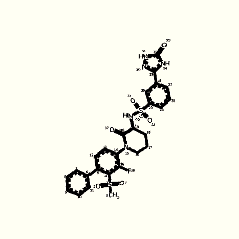 CS(=O)(=O)c1c(-c2ccccc2)ccc(N2CCCC(NS(=O)(=O)c3cccc(-c4n[nH]c(=O)[nH]4)c3)C2=O)c1F